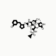 CC(C)C[C@H](NC(=O)OC1CCCC1Cc1cccc(Cl)c1)C(=O)N[C@@H](C[C@@H]1CCNC1=O)C(=O)NS(=O)(=O)C1CC1